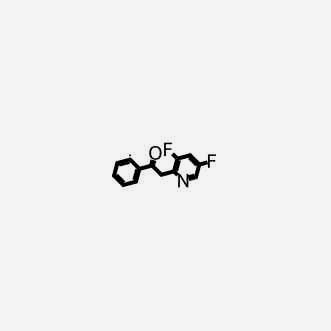 O=C(Cc1ncc(F)cc1F)c1[c]cccc1